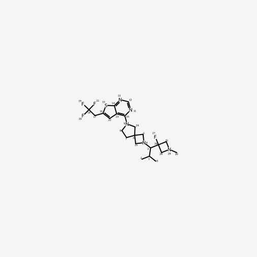 CC(C)C(N1CC2(CCN(c3ncnc4sc(CC(F)(F)F)cc34)C2)C1)C1(F)CN(C)C1